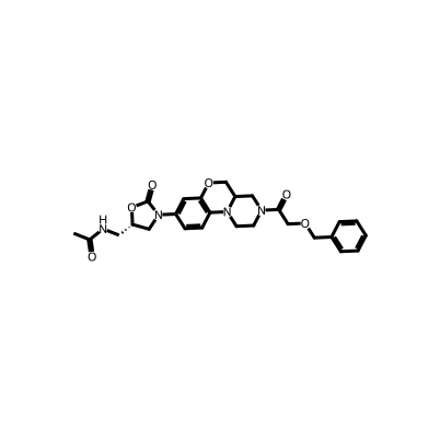 CC(=O)NC[C@H]1CN(c2ccc3c(c2)OCC2CN(C(=O)COCc4ccccc4)CCN32)C(=O)O1